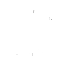 Cc1c(F)cccc1C1(C(=O)O)CCC(c2cncc(F)c2)C1